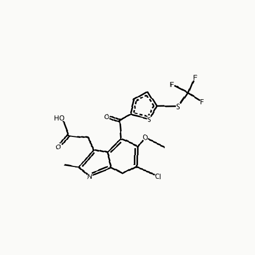 COC1=C(Cl)CC2=NC(C)=C(CC(=O)O)C2=C1C(=O)c1ccc(SC(F)(F)F)s1